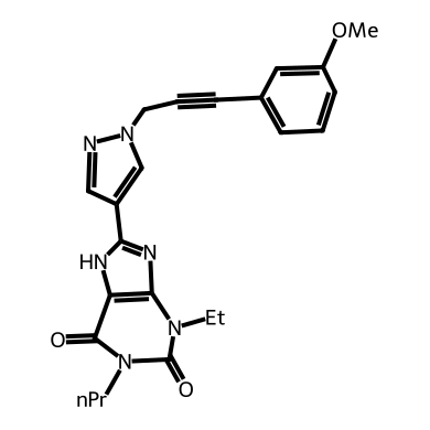 CCCn1c(=O)c2[nH]c(-c3cnn(CC#Cc4cccc(OC)c4)c3)nc2n(CC)c1=O